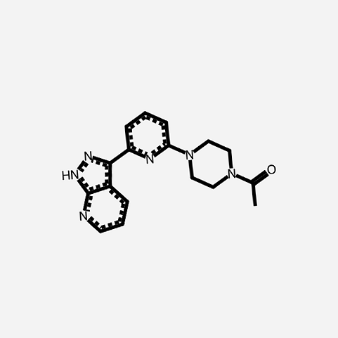 CC(=O)N1CCN(c2cccc(-c3n[nH]c4ncccc34)n2)CC1